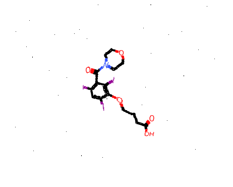 O=C(O)CCCOc1c(I)cc(I)c(C(=O)N2CCOCC2)c1I